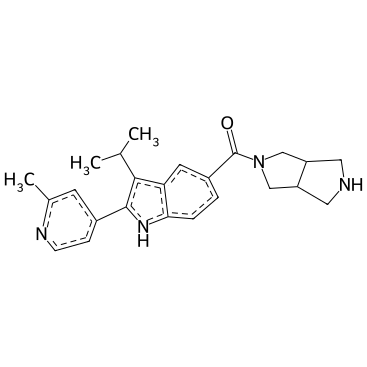 Cc1cc(-c2[nH]c3ccc(C(=O)N4CC5CNCC5C4)cc3c2C(C)C)ccn1